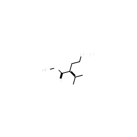 CCCCCCCCCC(C(=O)OCCC)=C(C)C